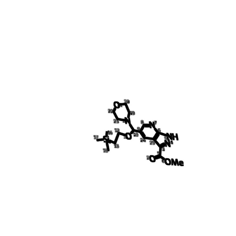 COC(=O)c1n[nH]c2ncc(C(OCC[Si](C)(C)C)N3CCOCC3)cc12